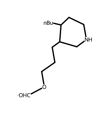 CCCCC1CCNCC1CCCO[C]=O